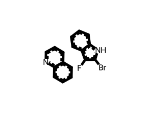 Fc1c(Br)[nH]c2ccccc12.c1ccc2ncccc2c1